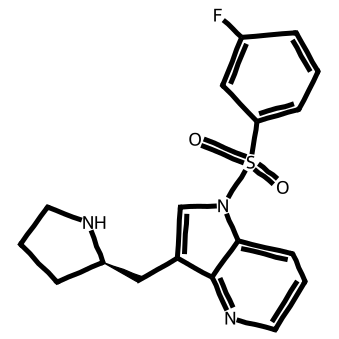 O=S(=O)(c1cccc(F)c1)n1cc(C[C@H]2CCCN2)c2ncccc21